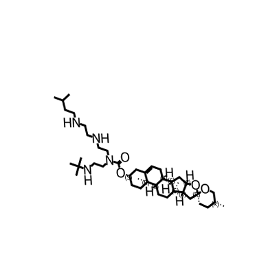 CC(C)CCNCCNCCN(CCNC(C)(C)C)C(=O)O[C@H]1CC[C@@]2(C)C(=CC[C@H]3[C@@H]4C[C@@H]5O[C@]6(CC[C@@H](C)CO6)C[C@@H]5[C@@]4(C)CC[C@@H]32)C1